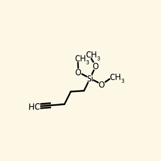 C#CCCC[Si](OC)(OC)OC